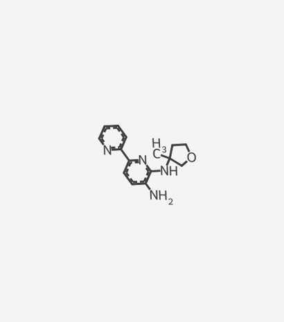 CC1(Nc2nc(-c3ccccn3)ccc2N)CCOC1